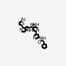 CC(=O)c1ccc(-c2nccc3[nH]c(-c4n[nH]c5cnc(-c6cncc(NC(=O)Cc7ccccc7)c6)cc45)cc23)s1